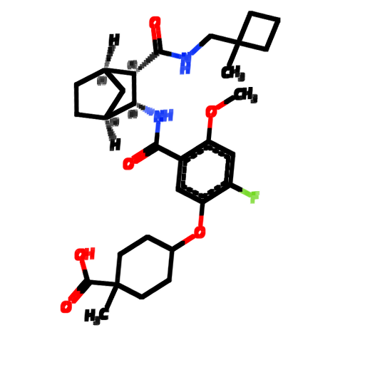 COc1cc(F)c(OC2CCC(C)(C(=O)O)CC2)cc1C(=O)N[C@@H]1[C@H]2CC[C@H](C2)[C@@H]1C(=O)NCC1(C)CCC1